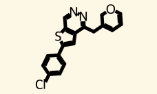 Clc1ccc(-c2cc3c(CC4=CC=COC4)nncc3s2)cc1